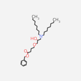 CCCCCCCCN(CCCCCCCC)CC(O)COCCCC(=O)OCc1ccccc1